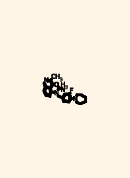 Cc1cc2c(N(Cc3ccc(N4CCCCCC4)c(F)c3)C(N)=O)cccc2cn1